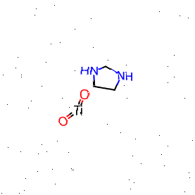 C1CNCN1.[O]=[Ti]=[O]